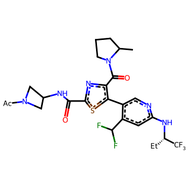 CC[C@H](Nc1cc(C(F)F)c(-c2sc(C(=O)NC3CN(C(C)=O)C3)nc2C(=O)N2CCCC2C)cn1)C(F)(F)F